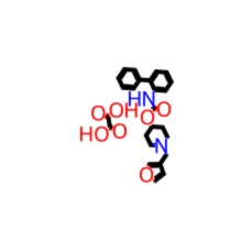 O=C(Nc1ccccc1-c1ccccc1)OC1CCN(Cc2ccoc2)CC1.O=C(O)C(=O)O